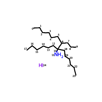 CCCCCCC(CCC)C(N)(CCCCCC)CCCCCC.I